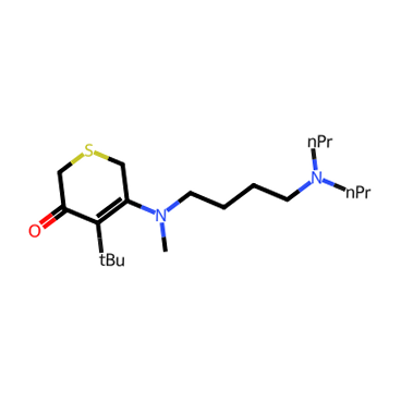 CCCN(CCC)CCCCN(C)C1=C(C(C)(C)C)C(=O)CSC1